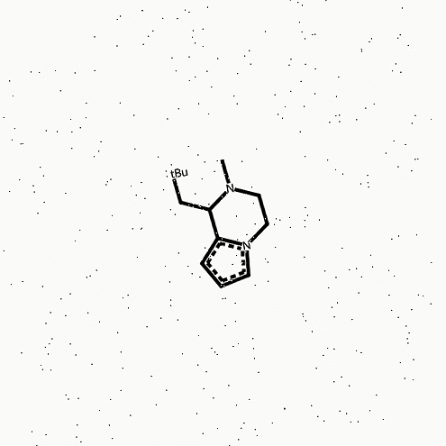 CN1CCn2cccc2C1CC(C)(C)C